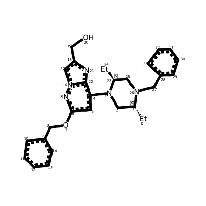 CC[C@@H]1CN(c2cc(OCc3ccccc3)nn3cc(CO)nc23)[C@@H](CC)CN1Cc1ccccc1